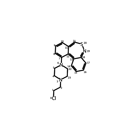 ClCCN1CCN(c2cccc3c2=c2ccccc2=NSC=3)CC1